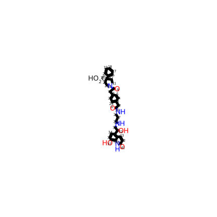 O=C(Cc1ccc(CC(=O)N2CCC(C(=O)O)(c3ccccc3)CC2)cc1)NCCCNCC(O)c1ccc(O)c2[nH]c(=O)ccc12